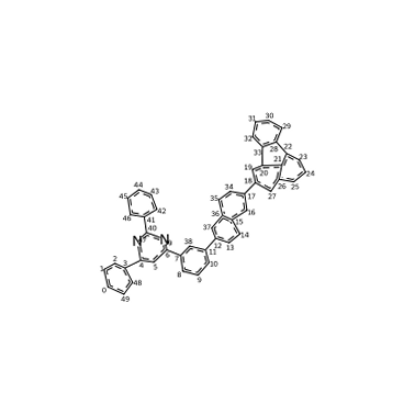 c1ccc(-c2cc(-c3cccc(-c4ccc5cc(-c6cc7c8c(cccc8c6)-c6ccccc6-7)ccc5c4)c3)nc(-c3ccccc3)n2)cc1